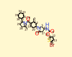 Cc1cc(N2CC(NC(=O)Oc3ccc(Br)s3)CC2=O)ccc1C(=O)N1C(C)CCC1c1ccccc1